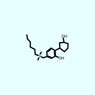 CCCCCC[Si](C)(C)Cc1ccc(C2CCCC(O)C2)c(O)c1